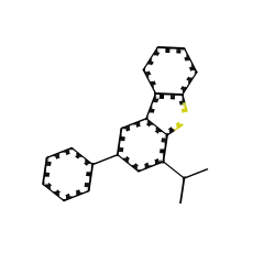 CC(C)c1cc(-c2ccccc2)cc2c1sc1ccccc12